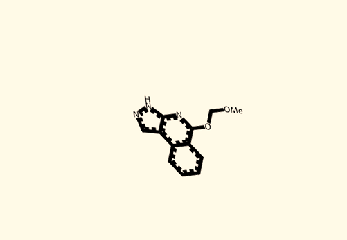 COCOc1nc2[nH]ncc2c2ccccc12